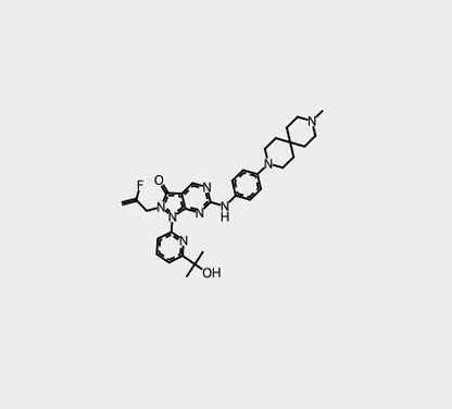 C=C(F)Cn1c(=O)c2cnc(Nc3ccc(N4CCC5(CCN(C)CC5)CC4)cc3)nc2n1-c1cccc(C(C)(C)O)n1